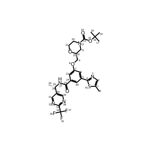 Cc1cnc(-c2cc(OC[C@@H]3CN(C(=O)OC(C)(C)C)CCO3)cc(C(=O)N[C@@H](C)c3cnc(C(F)(F)F)nc3)c2)s1